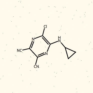 N#Cc1nc(Cl)c(NC2CC2)nc1C#N